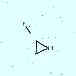 C1CN1.CF